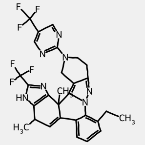 CCc1cccc2c1-n1nc3c(c1C1(C)C2=CC(C)c2[nH]c(C(F)(F)F)nc21)CN(c1ncc(C(F)(F)F)cn1)CC3